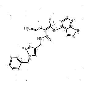 C=CS/C(C(=O)NCc1cn(Cc2ccccc2)nn1)=C(\C)Nc1ccnc2[nH]ccc12